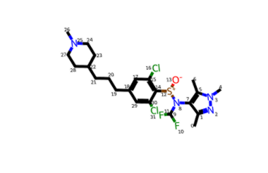 Cc1nn(C)c(C)c1N(C(F)F)[S+]([O-])c1c(Cl)cc(CCCC2CCN(C)CC2)cc1Cl